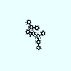 c1ccc(-c2ccc(-c3nc(-c4ccccc4)cc(-c4ccc5c(c4)sc4cccc(-c6nc(-c7ccccc7)cc(-c7ccccc7)n6)c45)n3)cc2)cc1